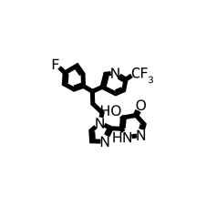 O=c1cn[nH]c(-c2nccn2CCC(c2ccc(F)cc2)c2ccc(C(F)(F)F)nc2)c1O